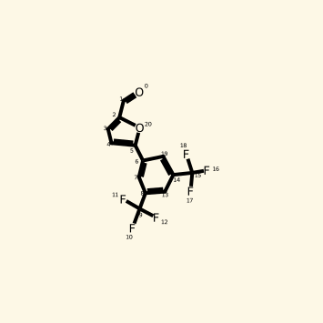 O=Cc1ccc(-c2cc(C(F)(F)F)cc(C(F)(F)F)c2)o1